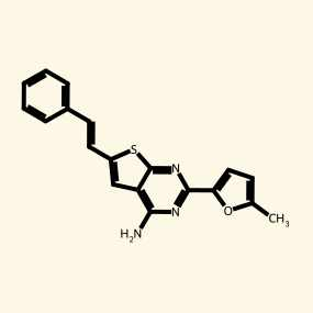 Cc1ccc(-c2nc(N)c3cc(C=Cc4ccccc4)sc3n2)o1